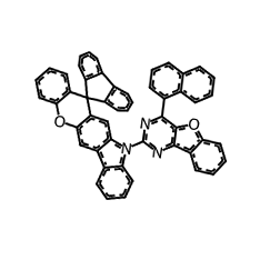 c1ccc2c(c1)Oc1cc3c4ccccc4n(-c4nc(-c5cccc6ccccc56)c5oc6ccccc6c5n4)c3cc1C21c2ccccc2-c2ccccc21